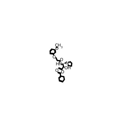 COc1cccc(OCCC(=O)N[C@H](CN2CCCC2)[C@@H](O)C2=COC=C(C3=CC=CCC3)O2)c1